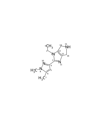 CCn1c(-c2cc(C)n(C)n2)nc2c1CNC2